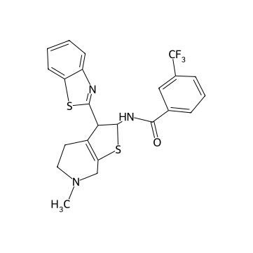 CN1CCC2=C(C1)SC(NC(=O)c1cccc(C(F)(F)F)c1)C2c1nc2ccccc2s1